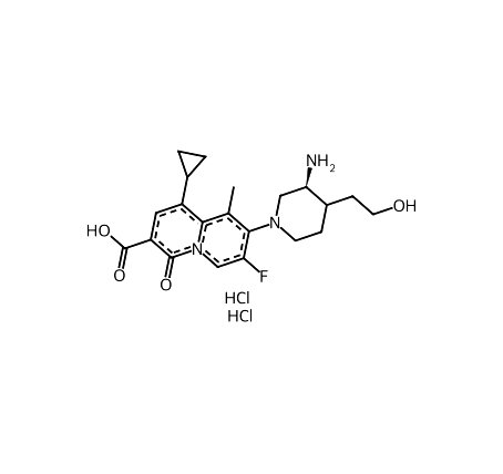 Cc1c(N2CCC(CCO)[C@H](N)C2)c(F)cn2c(=O)c(C(=O)O)cc(C3CC3)c12.Cl.Cl